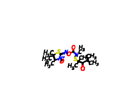 CC(C)C(=O)C(C)(C)SN(C)C(=O)ON=C1SC(C)(C)C(C)[N+]1=O